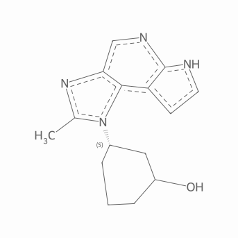 Cc1nc2cnc3[nH]ccc3c2n1[C@H]1CCCC(O)C1